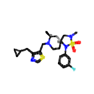 C[C@H]1C[C@]2(CCN1Cc1scnc1CC1CC1)CN(C)S(=O)(=O)N2c1cccc(F)c1